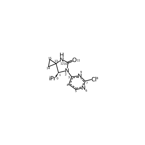 CC(C)[C@@H]1N(c2ccnc(Cl)n2)C(=O)NC12CC2